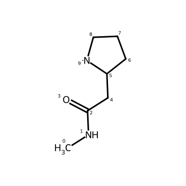 CNC(=O)CC1CCC[N]1